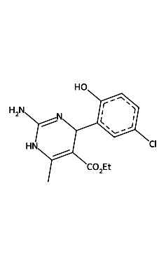 CCOC(=O)C1=C(C)NC(N)=NC1c1cc(Cl)ccc1O